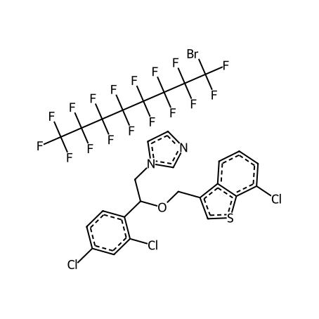 Clc1ccc(C(Cn2ccnc2)OCc2csc3c(Cl)cccc23)c(Cl)c1.FC(F)(F)C(F)(F)C(F)(F)C(F)(F)C(F)(F)C(F)(F)C(F)(F)C(F)(F)Br